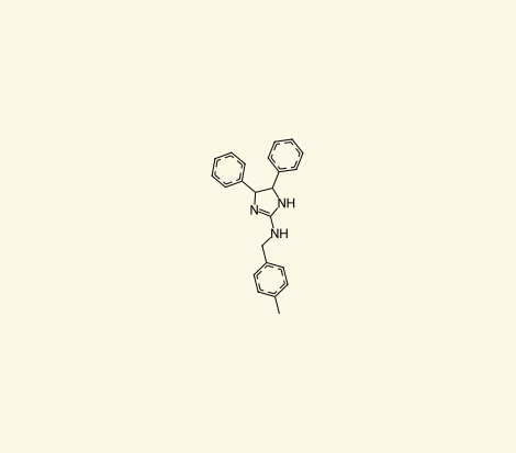 Cc1ccc(CNC2=NC(c3ccccc3)C(c3ccccc3)N2)cc1